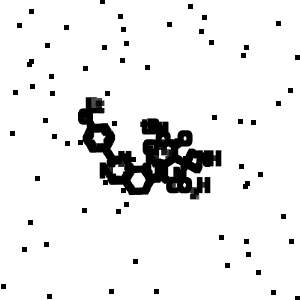 CCOc1ccc(-c2ncc3c(n2)-c2c(c(C(=O)O)c(C(C(=O)OC(C)(C)C)C4(N)CNC4)n2C)CC3)cc1